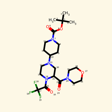 CC(C)(C)OC(=O)N1CCC(N2CCN(C(=O)C(F)(F)F)C(C(=O)N3CCOCC3)C2)CC1